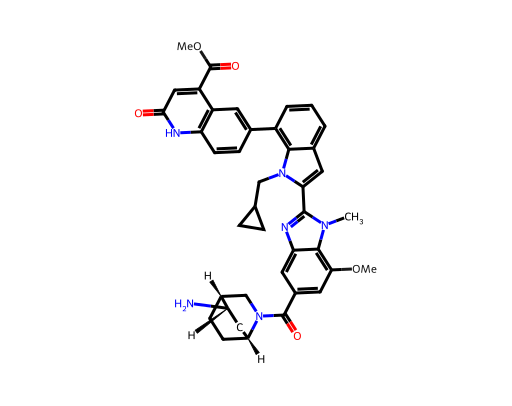 COC(=O)c1cc(=O)[nH]c2ccc(-c3cccc4cc(-c5nc6cc(C(=O)N7C[C@H]8CC[C@@H]7C[C@@H]8N)cc(OC)c6n5C)n(CC5CC5)c34)cc12